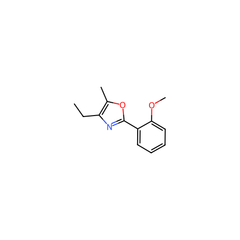 CCc1nc(-c2ccccc2OC)oc1C